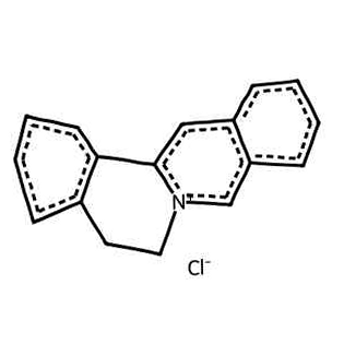 [Cl-].c1ccc2c(c1)CC[n+]1cc3ccccc3cc1-2